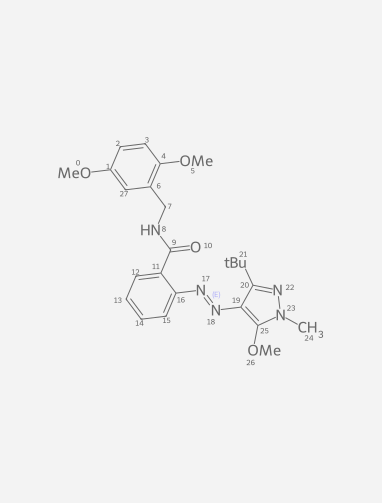 COc1ccc(OC)c(CNC(=O)c2ccccc2/N=N/c2c(C(C)(C)C)nn(C)c2OC)c1